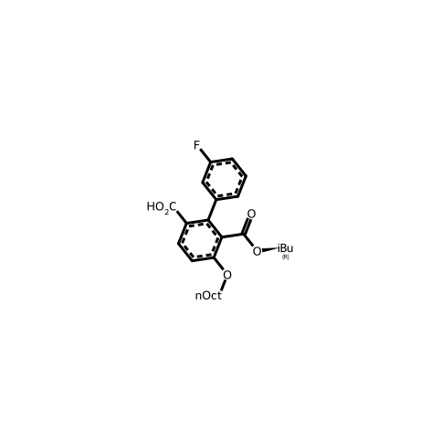 CCCCCCCCOc1ccc(C(=O)O)c(-c2cccc(F)c2)c1C(=O)O[C@H](C)CC